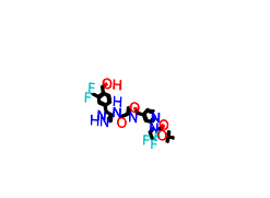 CC(C)(C)OC(=O)N(CC(F)(F)F)c1cc(-c2nc(C(=O)Nc3c[nH]nc3-c3ccc(CO)c(C(F)F)c3)co2)ccn1